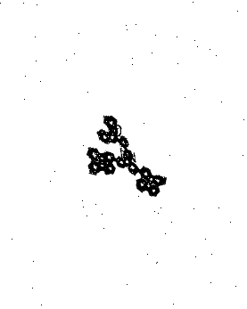 c1cc(-c2cnc3c4cc(-c5ccc6c(c5)C5(c7ccccc7-c7ccccc75)c5ccccc5-6)ccc4c4ccc(-c5ccc6c(c5)C5(c7ccccc7-c7ccccc75)c5ccccc5-6)cc4c3n2)cc(-c2cc3ccccc3c3c2oc2ccccc23)c1